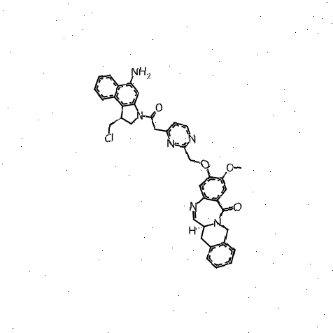 COc1cc2c(cc1OCc1nccc(CC(=O)N3C[C@@H](CCl)c4c3cc(N)c3ccccc43)n1)N=C[C@@H]1Cc3ccccc3CN1C2=O